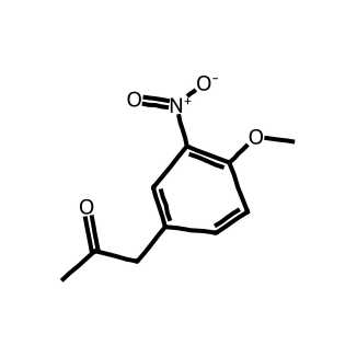 COc1ccc(CC(C)=O)cc1[N+](=O)[O-]